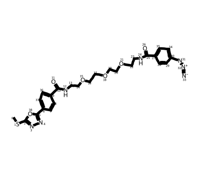 CSc1nnc(-c2ccc(C(=O)NCCOCCOCCOCCNC(=O)c3ccc(N=[N+]=[N-])cc3)cc2)o1